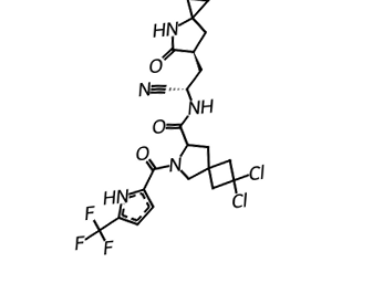 N#C[C@H](C[C@@H]1CC2(CC2)NC1=O)NC(=O)C1CC2(CN1C(=O)c1ccc(C(F)(F)F)[nH]1)CC(Cl)(Cl)C2